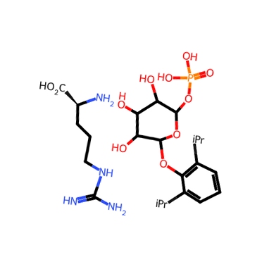 CC(C)c1cccc(C(C)C)c1OC1OC(OP(=O)(O)O)C(O)C(O)C1O.N=C(N)NCCC[C@H](N)C(=O)O